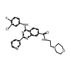 O=C(NCCN1CCOCC1)c1ccc2c(Nc3ccc(F)c(Cl)c3)nc(-c3cccnc3)nc2c1